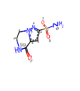 NS(=O)(=O)c1cc2n(n1)CCNC2=O